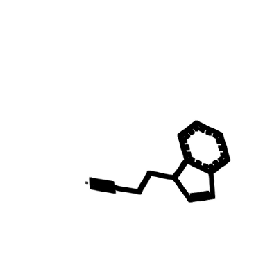 [C]#CCCC1C=Cc2ccccc21